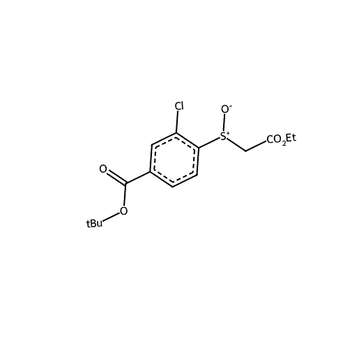 CCOC(=O)C[S+]([O-])c1ccc(C(=O)OC(C)(C)C)cc1Cl